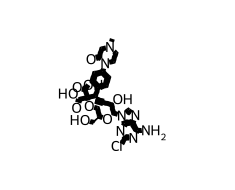 C#C[C@@H](O)[C@@H](O[C@@H](CO)COC(Cc1ccc(N2CCN(C)CC2=O)cc1)(C(=O)O)C(=O)O)n1cnc2c(N)nc(Cl)nc21